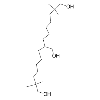 CC(C)(CO)CCCCCC(CO)CCCCCC(C)(C)CO